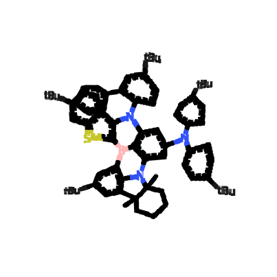 CC(C)(C)c1ccc(N(c2ccc(C(C)(C)C)cc2)c2cc3c4c(c2)N2c5c(cc(C(C)(C)C)cc5C5(C)CCCCC25C)B4c2sc4cc(C(C)(C)C)ccc4c2N3c2ccc(C(C)(C)C)cc2-c2ccccc2)cc1